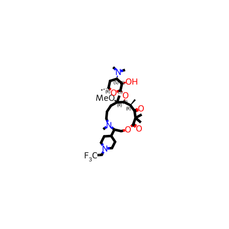 CO[C@]1(C)CCCN(C)C(C2CCN(CC(F)(F)F)CC2)COC(=O)C(C)(C)C(=O)[C@H](C)[C@H]1O[C@@H]1O[C@H](C)C[C@H](N(C)C)[C@H]1O